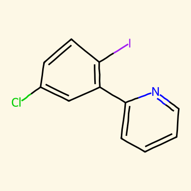 Clc1ccc(I)c(-c2ccccn2)c1